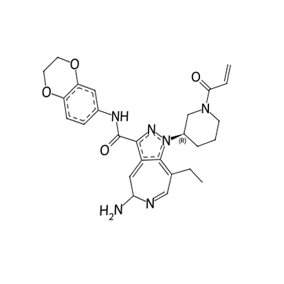 C=CC(=O)N1CCC[C@@H](n2nc(C(=O)Nc3ccc4c(c3)OCCO4)c3c2=C(CC)C=NC(N)C=3)C1